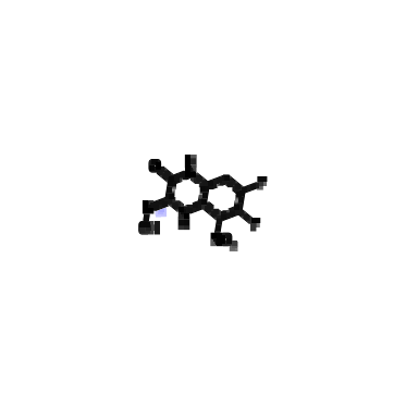 O=c1[nH]c2cc(F)c(F)c([N+](=O)[O-])c2[nH]/c1=N\O